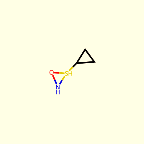 C1CC1[SH]1NO1